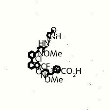 COc1nc(-c2cccc(-c3cccc4c3CC[C@@H]4Oc3nc(OC)c(CN4CC5(C(=O)O)CCC4CC5)cc3C(F)(F)F)c2Cl)ccc1CNC[C@@H]1CCC(=O)N1